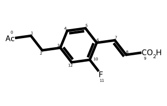 CC(=O)CCc1ccc(C=CC(=O)O)c(F)c1